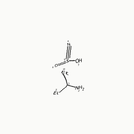 CCC(N)CC.N#S(=O)O